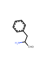 NC([C]=O)Cc1ccccc1